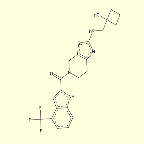 O=C(c1cc2c(C(F)(F)F)cccc2[nH]1)N1CCc2nc(NCC3(O)CCC3)sc2C1